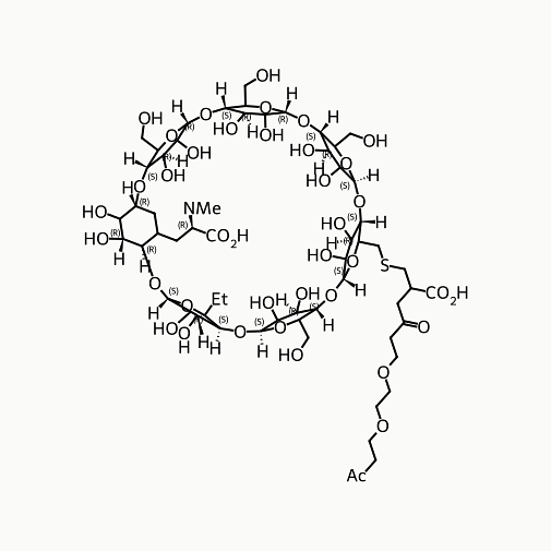 CCC1O[C@H]2O[C@@H]3C(C[C@@H](NC)C(=O)O)C[C@@H](O[C@@H]4C(CO)O[C@H](O[C@@H]5C(CO)O[C@H](O[C@@H]6C(CO)O[C@@H](O[C@@H]7C(CSCC(CC(=O)CCOCCOCCC(C)=O)C(=O)O)O[C@H](O[C@@H]8C(CO)O[C@@H](O[C@H]1[C@H](O)C2O)C(O)[C@H]8O)C(O)[C@H]7O)C(O)[C@H]6O)C(O)[C@H]5O)C(O)[C@H]4O)C(O)[C@H]3O